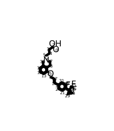 O=C(O)CCCN1CCc2c(cccc2OC/C=C/c2ccc(C3(C(F)(F)F)CC3)cc2)C1